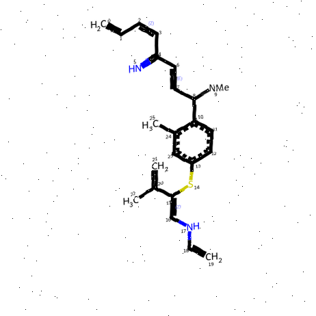 C=C/C=C\C(=N)/C=C/C(NC)c1ccc(S/C(=C\NC=C)C(=C)C)cc1C